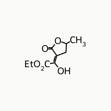 CCOC(=O)/C(O)=C1/CC(C)OC1=O